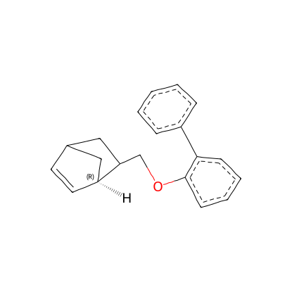 C1=C[C@H]2CC1CC2COc1ccccc1-c1ccccc1